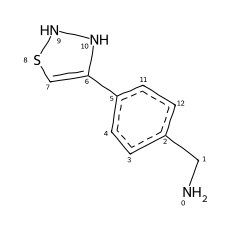 NCc1ccc(C2=CSNN2)cc1